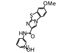 COc1ccc2c(c1)sc1nc(C(=O)Nc3ccc[n+](O)c3)cn12